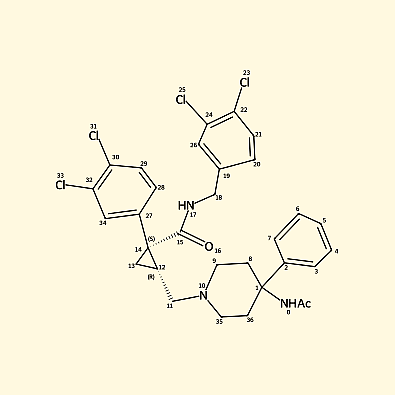 CC(=O)NC1(c2ccccc2)CCN(C[C@@H]2C[C@@]2(C(=O)NCc2ccc(Cl)c(Cl)c2)c2ccc(Cl)c(Cl)c2)CC1